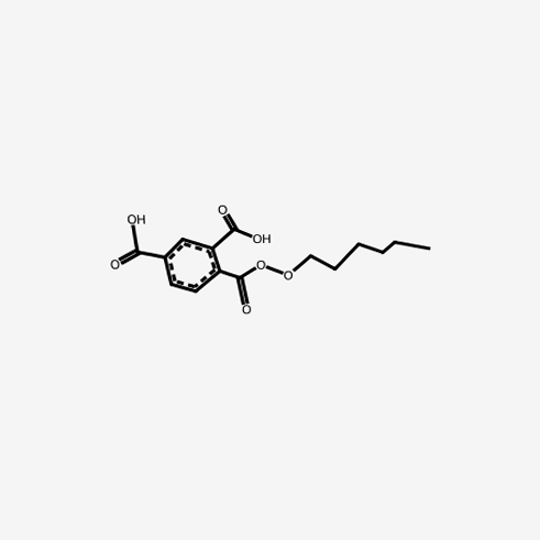 CCCCCCOOC(=O)c1ccc(C(=O)O)cc1C(=O)O